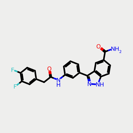 NC(=O)c1ccc2[nH]nc(-c3cccc(NC(=O)Cc4ccc(F)c(F)c4)c3)c2c1